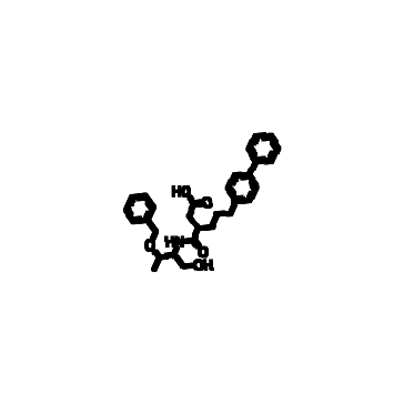 CC(OCc1ccccc1)C(CO)NC(=O)C(CCCc1ccc(-c2ccccc2)cc1)CC(=O)O